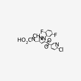 CN(Cc1cc(S(=O)(=O)c2ccc(Cl)nc2)n(-c2cc(F)ccc2F)n1)C(=O)O